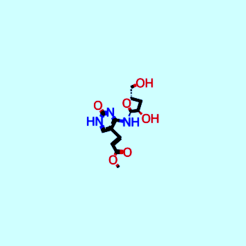 COC(=O)C=Cc1c[nH]c(=O)nc1N[C@@H]1O[C@H](CO)C[C@H]1O